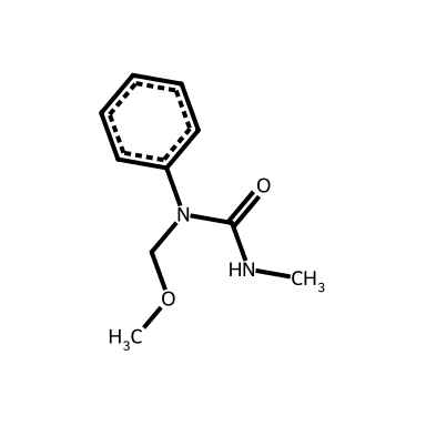 CNC(=O)N(COC)c1ccccc1